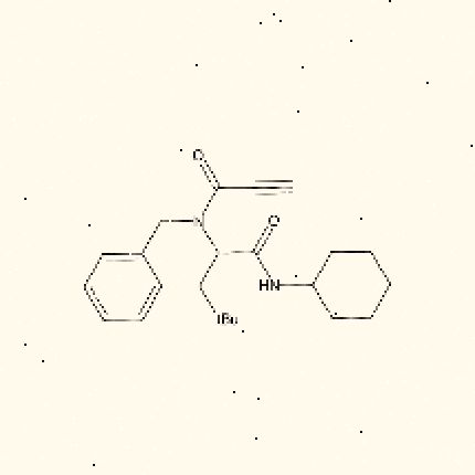 C#CC(=O)N(Cc1ccccc1)C(CC(C)(C)C)C(=O)NC1CCCCC1